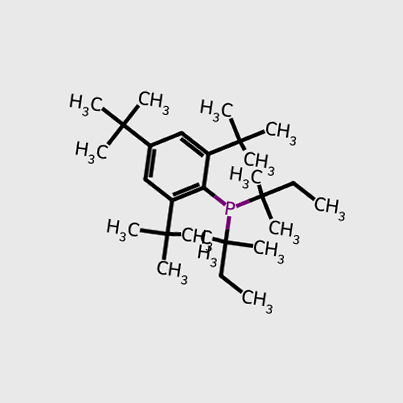 CCC(C)(C)P(c1c(C(C)(C)C)cc(C(C)(C)C)cc1C(C)(C)C)C(C)(C)CC